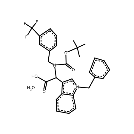 CC(C)(C)OC(=O)N(Cc1cccc(C(F)(F)F)c1)C(C(=O)O)c1cn(Cc2ccccc2)c2ccccc12.O